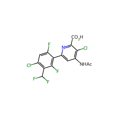 CC(=O)Nc1cc(-c2c(F)cc(Cl)c(C(F)F)c2F)nc(C(=O)O)c1Cl